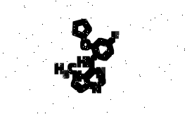 Cn1ccc2ncnc(Nc3ccc(F)cc3OC3CCCC3)c21